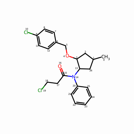 CC1CC(OCc2ccc(Cl)cc2)C(N(C(=O)CCCl)c2ccccc2)C1